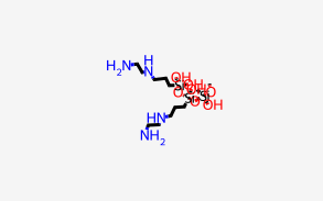 CO[Si](C)(O)O[Si](O)(CCCNCCN)O[Si](O)(O)CCCNCCN